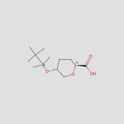 CC(C)(C)[Si](C)(C)OC1CC[C@@H](C(=O)O)OC1